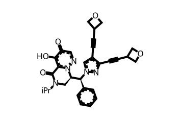 CC(C)N1C[C@H]([C@H](c2ccccc2)n2cc(C#CC3COC3)c(C#CC3COC3)n2)n2ncc(=O)c(O)c2C1=O